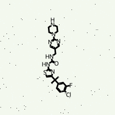 CC(C)(c1ccc(Cl)c(F)c1)c1csc(NC(=O)NCc2cnc(N3CCNCC3)nc2)n1